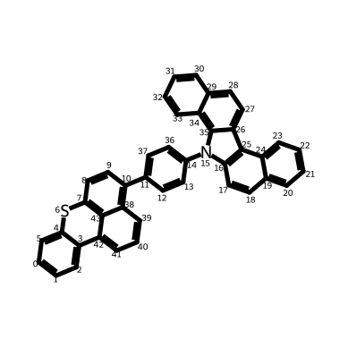 c1ccc2c(c1)Sc1ccc(-c3ccc(-n4c5ccc6ccccc6c5c5ccc6ccccc6c54)cc3)c3cccc-2c13